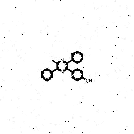 Cc1nc(-c2ccccc2)c(-c2ccc(C#N)cc2)nc1-c1ccccc1